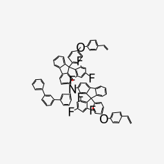 C=Cc1ccc(Oc2ccc(C3(c4c(F)cc(F)cc4F)c4ccccc4-c4ccc(N(c5cccc(-c6cccc(-c7ccccc7)c6)c5)c5ccc6c(c5)C(c5ccc(Oc7ccc(C=C)cc7)cc5)(c5c(F)cc(F)cc5F)c5ccccc5-6)cc43)cc2)cc1